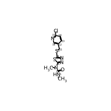 CNC(=O)N(C)c1nnc(SCc2ccc(Cl)nc2)s1